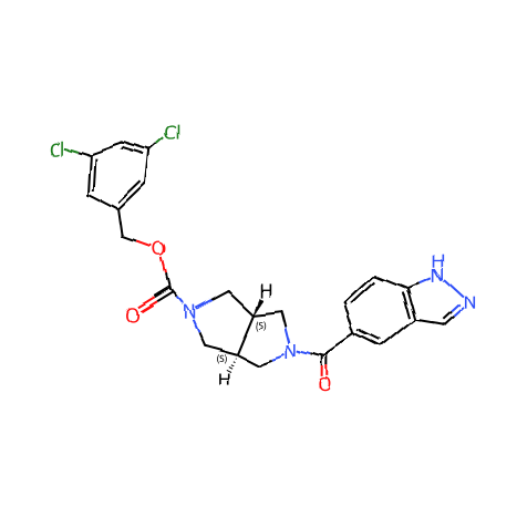 O=C(OCc1cc(Cl)cc(Cl)c1)N1C[C@@H]2CN(C(=O)c3ccc4[nH]ncc4c3)C[C@H]2C1